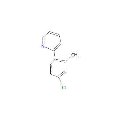 Cc1cc(Cl)ccc1-c1ccccn1